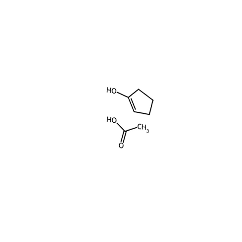 CC(=O)O.OC1=CCCC1